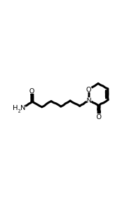 NC(=O)CCCCCN1OCC=CC1=O